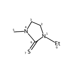 CCN1CCN(C)C1=S